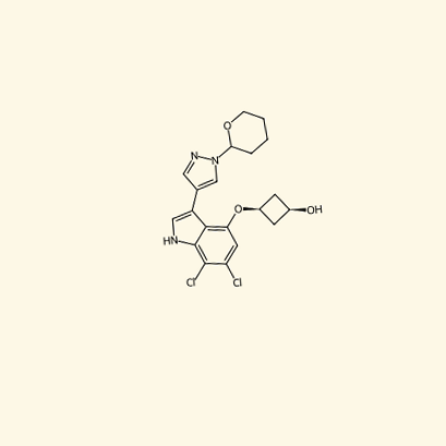 O[C@H]1C[C@@H](Oc2cc(Cl)c(Cl)c3[nH]cc(-c4cnn(C5CCCCO5)c4)c23)C1